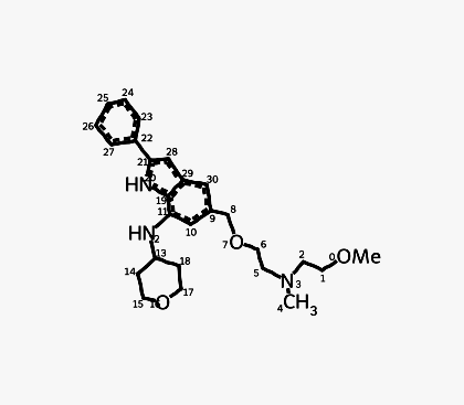 COCCN(C)CCOCc1cc(NC2CCOCC2)c2[nH]c(-c3ccccc3)cc2c1